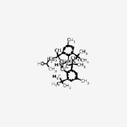 CC(C)O.Cc1cc(C(C)(C)C)c([O][AlH][O]c2c(C(C)(C)C)cc(C)cc2C(C)(C)C)c(C(C)(C)C)c1